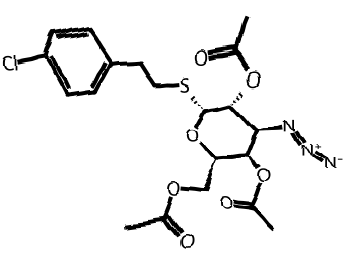 CC(=O)OC[C@H]1O[C@H](SCCc2ccc(Cl)cc2)[C@H](OC(C)=O)[C@@H](N=[N+]=[N-])[C@H]1OC(C)=O